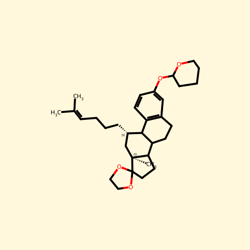 CC(C)=CCCC[C@H]1C[C@@]2(C)C(CCC23OCCO3)C2CCc3cc(OC4CCCCO4)ccc3C21